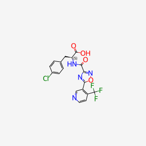 O=C(N[C@@H](Cc1ccc(Cl)cc1)C(=O)O)c1noc(-c2cnccc2C(F)(F)F)n1